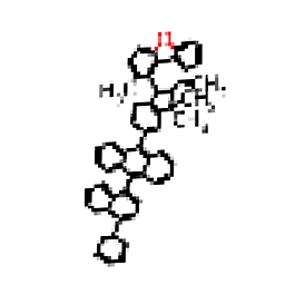 C=CC1=C(c2c(C)ccc3oc4ccccc4c23)c2ccc(-c3c4ccccc4c(-c4ccc(-c5ccccc5)c5ccccc45)c4ccccc34)cc2C1(C)C